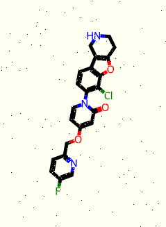 O=c1cc(OCc2ccc(F)cn2)ccn1-c1ccc2c3c(oc2c1Cl)CCNC3